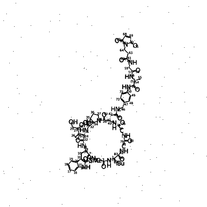 CC[C@H](C)[C@@H]1NC(=O)CNC(=O)[C@@H](Cc2c(SC)[nH]c3ccccc23)NC(=O)[C@H]([C@@H](C)[C@@H](O)CO)NC(=O)[C@@H]2CCCN2C(=O)[C@H](CC(=O)NCc2ccc(NC(=O)[C@H](C)NC(=O)CNC(=O)CCN3C(=O)C=CC3=O)cc2)NC(=O)CNC(=O)CNC1=O